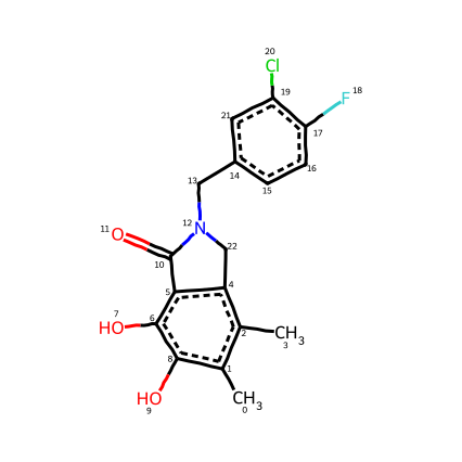 Cc1c(C)c2c(c(O)c1O)C(=O)N(Cc1ccc(F)c(Cl)c1)C2